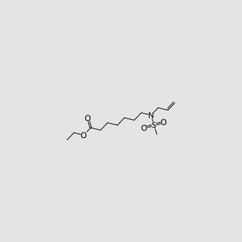 C=CCN(CCCCCCC(=O)OCC)S(C)(=O)=O